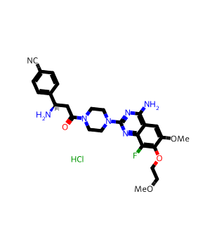 COCCOc1c(OC)cc2c(N)nc(N3CCN(C(=O)C[C@@H](N)c4ccc(C#N)cc4)CC3)nc2c1F.Cl